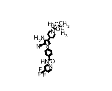 CC(C)(C)OC(=O)N1CCC(c2cn(-c3ccc(C(=O)Nc4cc(C(F)(F)F)ccn4)cc3)c(C#N)c2N)CC1